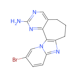 Nc1ncc2c(n1)-c1c(nc3ccc(Br)cn13)CCC2